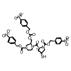 O=C(OCc1ccc([N+](=O)[O-])cc1)OCC1CN(C(=O)OCc2ccc([N+](=O)[O-])cc2)CCN1C(=O)[C@@H]1C[C@H](S)CN1C(=O)OCc1ccc([N+](=O)[O-])cc1